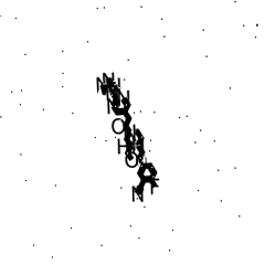 N#Cc1cc([C@@H]2CN3CCN(C(=O)Cc4cnc(-n5cnnn5)nc4)C[C@@H]3CO2)ccc1F